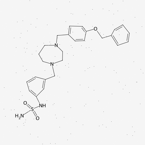 NS(=O)(=O)Nc1cccc(CN2CCCN(Cc3ccc(OCc4ccccc4)cc3)CC2)c1